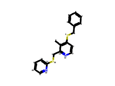 Cc1c(SCc2ccccc2)ccnc1CSc1ccccn1